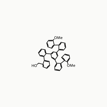 COc1ccccc1-c1ccccc1-c1cc(-c2ccccc2-c2ccccc2CO)cc(-c2ccccc2-c2ccccc2OC)c1